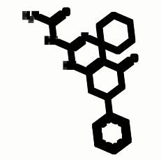 NC(=O)NC1=NC2(CCCCC2)C2=C(CC(c3ccccc3)CC2=O)N1